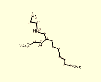 CCCCCCCCCCCCCCCCC(CNCCN)NCC(=O)O